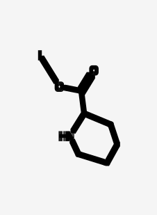 O=C(OI)C1CCCCN1